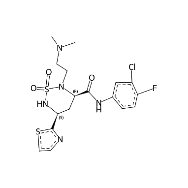 CN(C)CCN1[C@@H](C(=O)Nc2ccc(F)c(Cl)c2)C[C@@H](c2nccs2)NS1(=O)=O